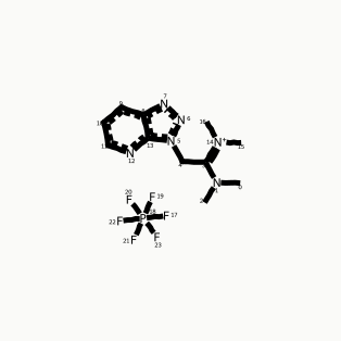 CN(C)C(Cn1nnc2cccnc21)=[N+](C)C.F[P-](F)(F)(F)(F)F